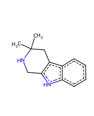 CC1(C)Cc2c([nH]c3ccccc23)CN1